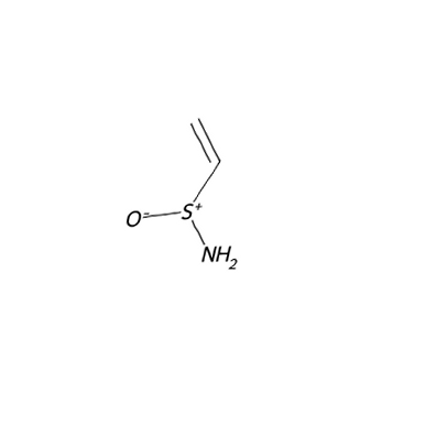 C=C[S+](N)[O-]